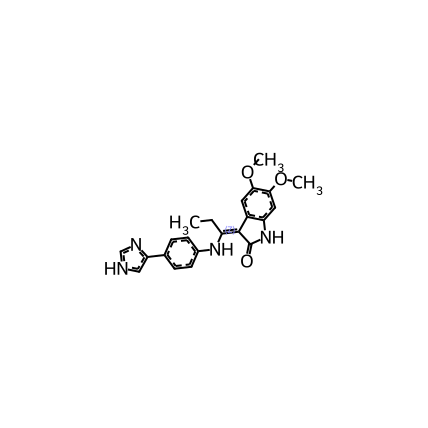 CC/C(Nc1ccc(-c2c[nH]cn2)cc1)=C1/C(=O)Nc2cc(OC)c(OC)cc21